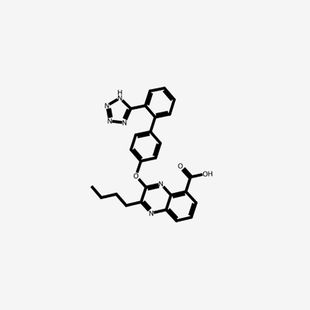 CCCCc1nc2cccc(C(=O)O)c2nc1Oc1ccc(-c2ccccc2-c2nnn[nH]2)cc1